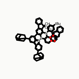 CC(C)(C)c1ccc(N2c3c4c(cc5c3C(C)(C)c3ccccc3-5)-c3cc(C56CC7CC(CC(C7)C5)C6)cc5c6cc(C78CC9CC(CC(C9)C7)C8)ccc6n(c35)B4c3ccc4sc5cc6ccccc6cc5c4c32)c(-c2ccccc2)c1